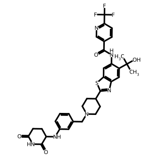 CC(C)(O)c1cc2nc(C3CCN(Cc4cccc(NC5CCC(=O)NC5=O)c4)CC3)sc2cc1NC(=O)c1ccc(C(F)(F)F)nc1